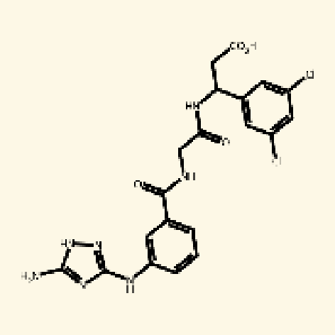 Nc1nc(Nc2cccc(C(=O)NCC(=O)NC(CC(=O)O)c3cc(Cl)cc(Cl)c3)c2)n[nH]1